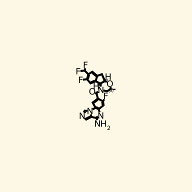 C[C@H]1CN(C(=O)c2cc3c(cc2F)nc(N)c2cncn23)[C@H]2c3cc(F)c(C(F)F)cc3C[C@H]2O1